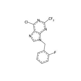 Fc1ccccc1Cn1cnc2c(Cl)nc(C(F)(F)F)nc21